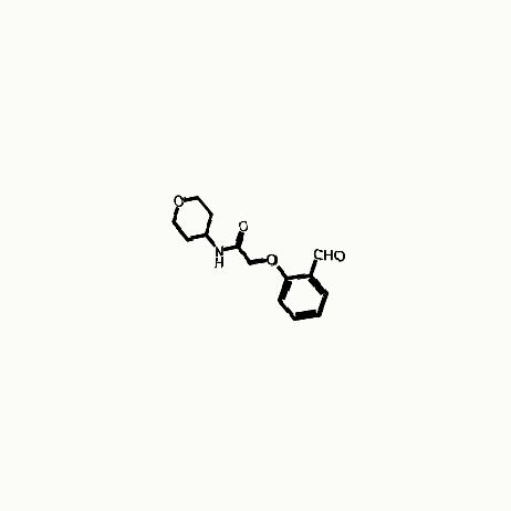 O=Cc1ccccc1OCC(=O)NC1CCOCC1